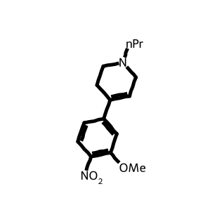 CCCN1CC=C(c2ccc([N+](=O)[O-])c(OC)c2)CC1